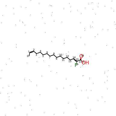 C/C=C\CCCCCCCCCCCC=C(F)C(=O)O